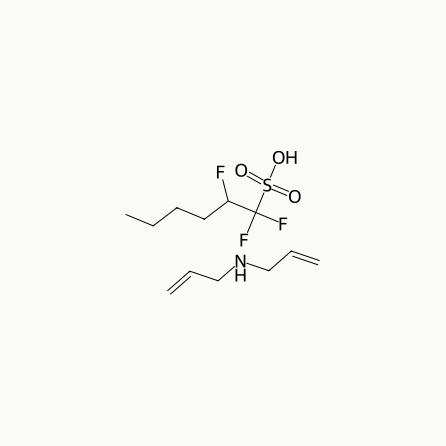 C=CCNCC=C.CCCCC(F)C(F)(F)S(=O)(=O)O